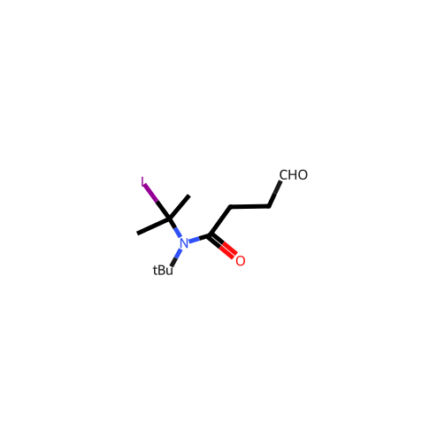 CC(C)(C)N(C(=O)CCC=O)C(C)(C)I